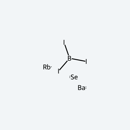 IB(I)I.[Ba].[Rb].[Se]